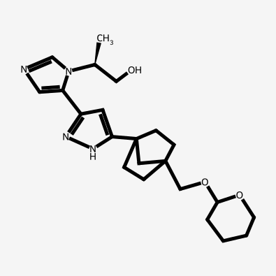 C[C@@H](CO)n1cncc1-c1cc(C23CCC(COC4CCCCO4)(CC2)C3)[nH]n1